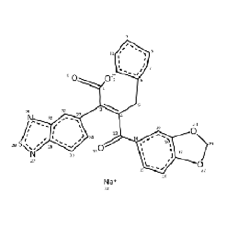 O=C([O-])/C(=C(\Cc1ccccc1)C(=O)c1ccc2c(c1)OCO2)c1ccc2nsnc2c1.[Na+]